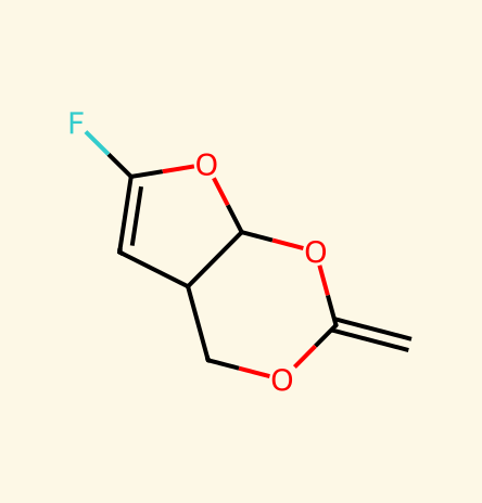 C=C1OCC2C=C(F)OC2O1